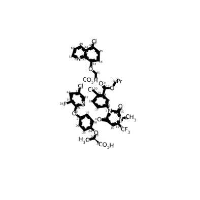 CC(C)OC(=O)c1cc(-n2c(=O)cc(C(F)(F)F)n(C)c2=O)ccc1Cl.C[C@@H](Oc1ccc(Oc2ncc(Cl)cc2F)cc1)C(=O)O.O=C(O)COc1ccc(Cl)c2cccnc12